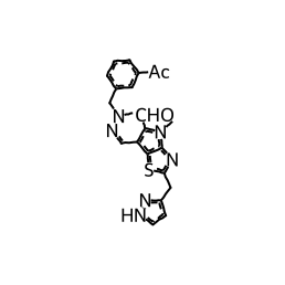 CC(=O)c1cccc(CN(C)/N=C\c2c(C=O)n(C)c3nc(Cc4cc[nH]n4)sc23)c1